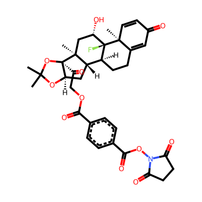 CC1(C)O[C@@H]2C[C@H]3[C@@H]4CCC5=CC(=O)C=C[C@]5(C)[C@@]4(F)[C@@H](O)C[C@]3(C)[C@]2(C(=O)COC(=O)c2ccc(C(=O)ON3C(=O)CCC3=O)cc2)O1